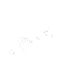 Cc1c(NC[C@H]2CCC[C@@H](c3ccccc3)C2)ncnc1C(=O)N1CCC(N2CCC(N(C)S(C)(=O)=O)CC2)CC1